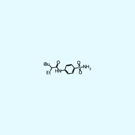 CCC(C)C(CC)C(=O)Nc1ccc(S(N)(=O)=O)cc1